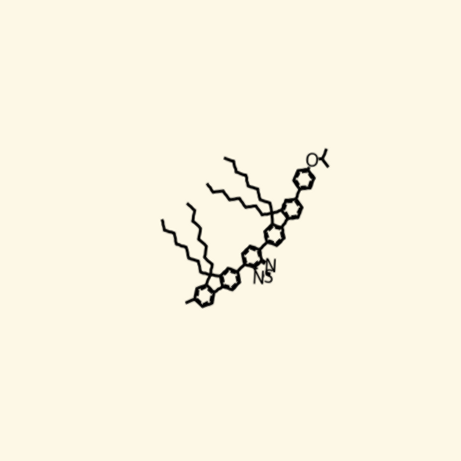 CCCCCCCCC1(CCCCCCCC)c2cc(C)ccc2-c2ccc(-c3ccc(-c4ccc5c(c4)C(CCCCCCCC)(CCCCCCCC)c4cc(-c6ccc(OC(C)C)cc6)ccc4-5)c4nsnc34)cc21